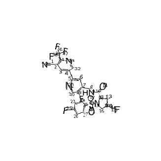 N#Cc1cc(-c2cc(CNC(=O)[C@@H]3C[C@@H](F)CN3S(=O)(=O)c3ccc(F)cc3)c(F)cn2)cnc1C(F)(F)F